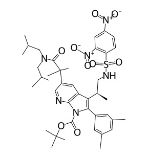 Cc1cc(C)cc(-c2c([C@H](C)CNS(=O)(=O)c3ccc([N+](=O)[O-])cc3[N+](=O)[O-])c3cc(C(C)(C)C(=O)N(CC(C)C)CC(C)C)cnc3n2C(=O)OC(C)(C)C)c1